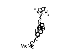 CNC(=O)OCCOc1ccc2c(c1)CC[C@@H]1[C@@H]2CC[C@]2(C)[C@@H](OCCCOC(C(F)(F)F)(C(F)(F)F)C(F)(F)F)CC[C@@H]12